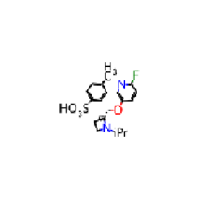 CC(C)N1CC[C@@H]1COc1ccc(F)nc1.Cc1ccc(S(=O)(=O)O)cc1